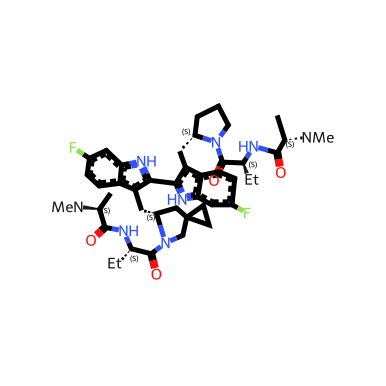 CC[C@H](NC(=O)[C@H](C)NC)C(=O)N1CCC[C@H]1Cc1c(-c2[nH]c3cc(F)ccc3c2C[C@@H]2CC3(CC3)CN2C(=O)[C@H](CC)NC(=O)[C@H](C)NC)[nH]c2cc(F)ccc12